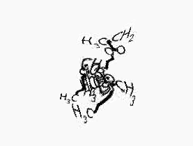 C=C(C)C(=O)OCCC[Si](C)(O[Si](C)(C)CCCC)O[Si](C)(C)CCCC